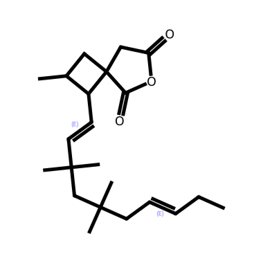 CC/C=C/CC(C)(C)CC(C)(C)/C=C/C1C(C)CC12CC(=O)OC2=O